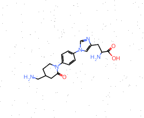 NCC1CCN(c2ccc(-n3cnc(CC(N)C(=O)O)c3)cc2)C(=O)C1